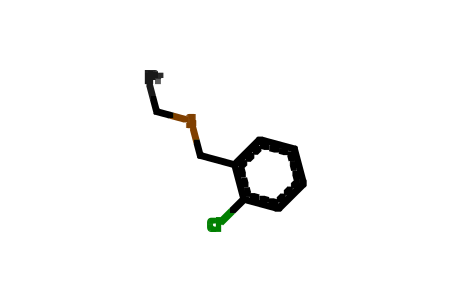 CC(C)CSCc1ccccc1Cl